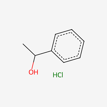 CC(O)c1ccccc1.Cl